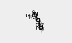 CN(CC(O)c1ccc(OC(=O)c2c(F)cc(F)cc2F)cc1)C(=O)OC(C)(C)C